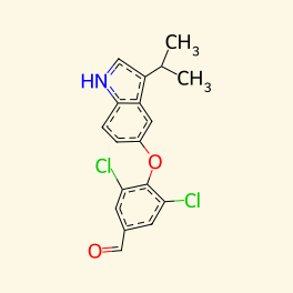 CC(C)c1c[nH]c2ccc(Oc3c(Cl)cc(C=O)cc3Cl)cc12